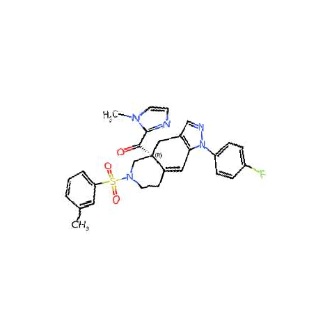 Cc1cccc(S(=O)(=O)N2CCC3=Cc4c(cnn4-c4ccc(F)cc4)C[C@]3(C(=O)c3nccn3C)C2)c1